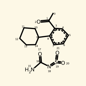 CC(=O)c1ccccc1C1CCCCC1.NC(=O)N=S(=O)=O